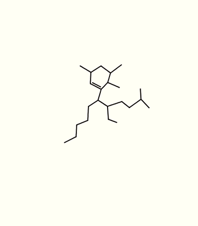 CCCCCC(C1=CC(C)CC(C)C1C)C(CC)CCC(C)C